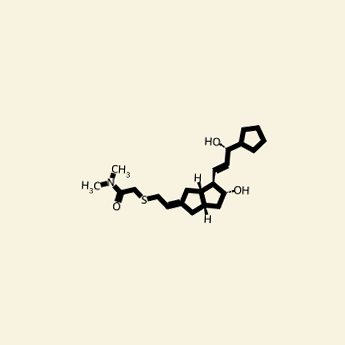 CN(C)C(=O)CSCC=C1C[C@H]2C[C@@H](O)[C@H](/C=C/[C@H](O)C3CCCC3)[C@H]2C1